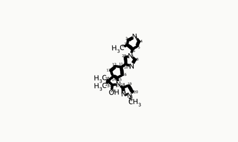 Cc1cnccc1-n1cnc(-c2ccc3c(c2)N(c2ccn(C)n2)C(O)C3(C)C)c1